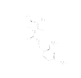 COc1ccc(CNC(=O)n2oc(=O)c(C(C)C)c2C)c(OC)c1